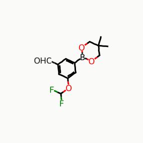 CC1(C)COB(c2cc(C=O)cc(OC(F)F)c2)OC1